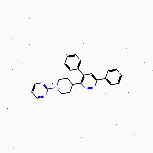 c1ccc(-c2cc(-c3ccccc3)c(C3CCN(c4ncccn4)CC3)nn2)cc1